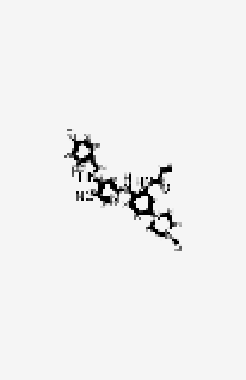 C=CC(=O)Nc1cc(N2CCN(C)CC2)ccc1Nc1cc(NCc2ccc(F)cc2F)c(C#N)cn1